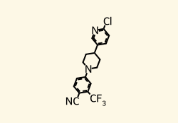 N#Cc1ccc(N2CCC(c3ccc(Cl)nc3)CC2)cc1C(F)(F)F